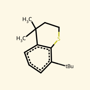 CC(C)(C)c1cccc2c1SCCC2(C)C